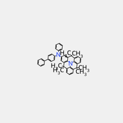 CC1(C)c2cccc3c2N2c4c1cccc4C(C)(C)c1cc(N(c4ccccc4)c4ccc(-c5ccccc5)cc4)cc(c12)C3(C)C